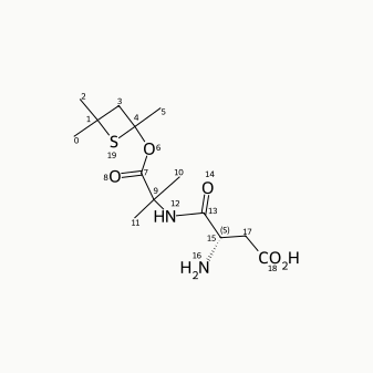 CC1(C)CC(C)(OC(=O)C(C)(C)NC(=O)[C@@H](N)CC(=O)O)S1